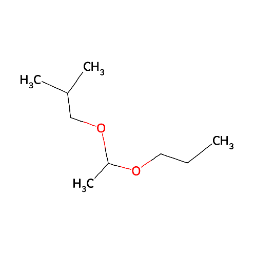 CCCOC(C)OCC(C)C